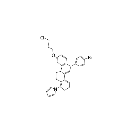 ClCCCOc1ccc2c(c1)C1C=CC3=C(n4cccc4)CCC=C3C1=CC2c1ccc(Br)cc1